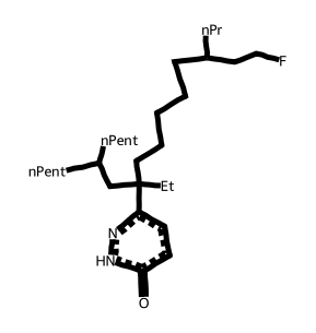 CCCCCC(CCCCC)CC(CC)(CCCCCC(CCC)CCF)c1ccc(=O)[nH]n1